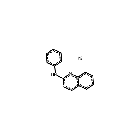 [N].c1ccc(Nc2ncc3ccccc3n2)cc1